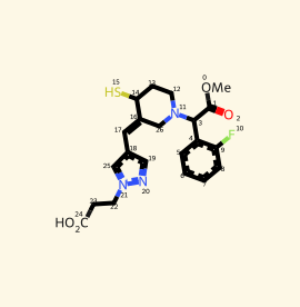 COC(=O)C(c1ccccc1F)N1CCC(S)C(=Cc2cnn(CCC(=O)O)c2)C1